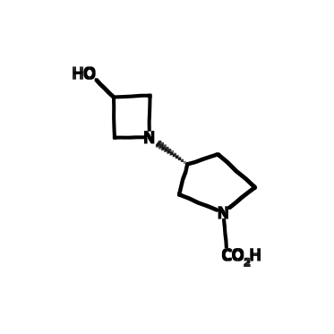 O=C(O)N1CC[C@@H](N2CC(O)C2)C1